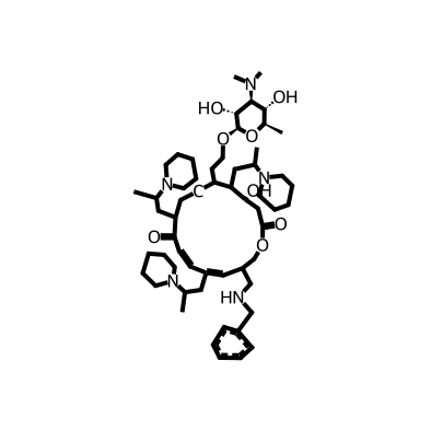 CC(CC1=CC(CNCc2ccccc2)COC(=O)CC(O)C(CC(C)N2CCCCC2)C(CCO[C@@H]2O[C@H](C)[C@@H](O)[C@H](N(C)C)[C@H]2O)CCC(CC(C)N2CCCCC2)C(=O)C=C1)N1CCCCC1